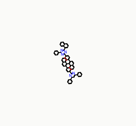 c1ccc(-c2cc(-c3ccccc3)nc(-c3ccc(-c4ccc5ccccc5c4-c4c(-c5ccc(-c6nc(-c7ccccc7)nc(-c7cccc8ccccc78)n6)cc5)ccc5ccccc45)cc3)n2)cc1